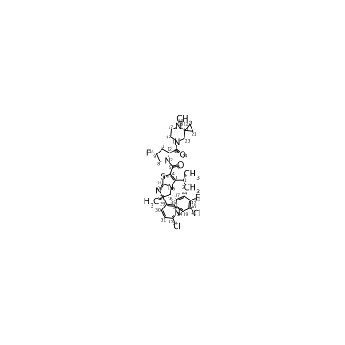 CC(C)C1=C(C(=O)N2C[C@H](F)C[C@H]2C(=O)N2CCN(C)C3(CC3)C2)SC2=N[C@@](C)(c3ccc(Cl)nc3)[C@@H](c3ccc(Cl)c(F)c3)N21